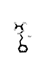 C/C(=N/NCCc1ccccc1)C(=O)[O-].[Na+]